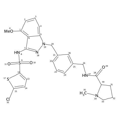 COc1cccc2c1c(NS(=O)(=O)c1ccc(Cl)s1)nn2Cc1cccc(CNC(=O)C2CCCN2C)c1